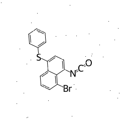 O=C=Nc1ccc(Sc2ccccc2)c2cccc(Br)c12